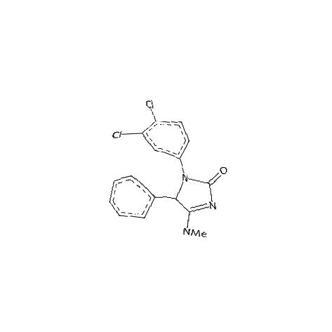 CNC1=NC(=O)N(c2ccc(Cl)c(Cl)c2)C1c1ccccc1